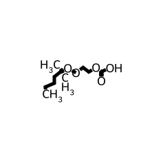 CCCCC(C)(C)OOCCOC(=O)O